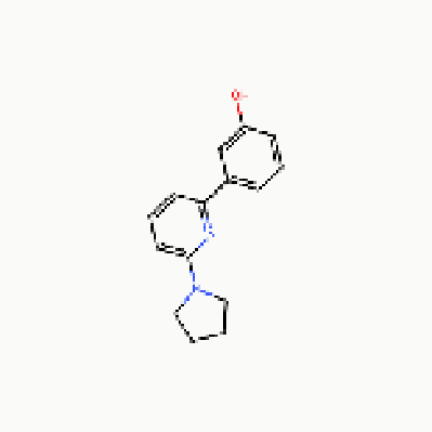 Oc1cccc(-c2cccc(N3CCCC3)n2)c1